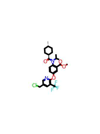 COC(=O)c1cc(Oc2ncc(CCl)cc2C(F)(F)F)ccc1N(C(=O)[C@H]1CC[C@H](C)CC1)C(C)C